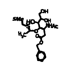 CSCSC(C)OC(C(CC(=O)OCc1ccccc1)NC(C)=O)[C@@H](O)C(O)CO